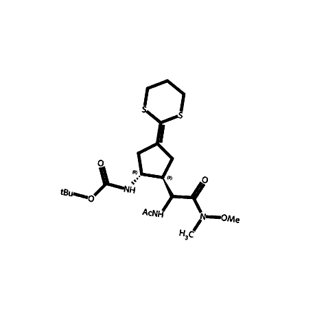 CON(C)C(=O)C(NC(C)=O)[C@@H]1CC(=C2SCCCS2)C[C@H]1NC(=O)OC(C)(C)C